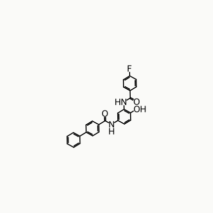 O=C(Nc1ccc(O)c(NC(=O)c2ccc(F)cc2)c1)c1ccc(-c2ccccc2)cc1